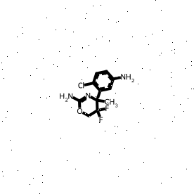 CC1(c2cc(N)ccc2Cl)N=C(N)OCC1(F)F